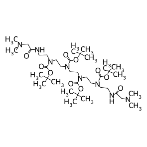 CN(C)CC(=O)NCCN(CCN(CCN(CCN(CCNC(=O)CN(C)C)C(=O)OC(C)(C)C)C(=O)OC(C)(C)C)C(=O)OC(C)(C)C)C(=O)OC(C)(C)C